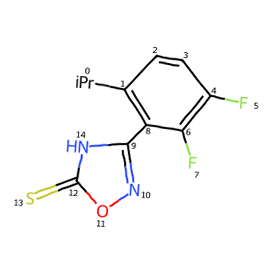 CC(C)c1ccc(F)c(F)c1-c1noc(=S)[nH]1